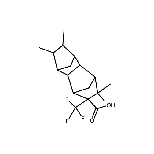 CC1C(C)C2CC1C1C2C2CC1C(C)(C)C2(C(=O)O)C(F)(F)F